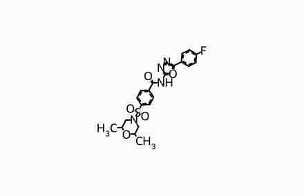 CC1CN(S(=O)(=O)c2ccc(C(=O)Nc3nnc(-c4ccc(F)cc4)o3)cc2)CC(C)O1